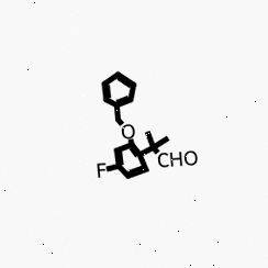 CC(C)(C=O)c1ccc(F)cc1OCc1ccccc1